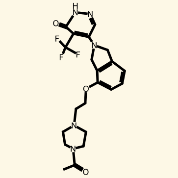 CC(=O)N1CCN(CCOc2cccc3c2CN(c2cn[nH]c(=O)c2C(F)(F)F)C3)CC1